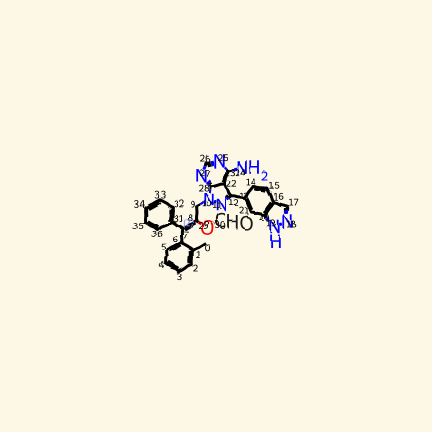 Cc1ccccc1/C(=C(/Cn1nc(-c2ccc3cn[nH]c3c2)c2c(N)ncnc21)OC=O)c1ccccc1